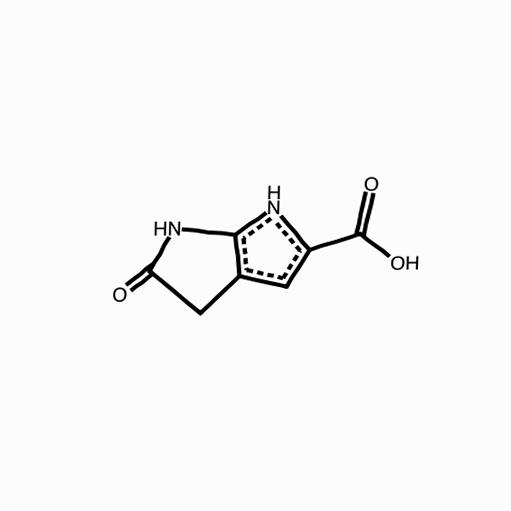 O=C1Cc2cc(C(=O)O)[nH]c2N1